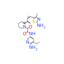 C=C(/C=C\c1sc(N)nc1C)[C@@H]1CCCCN1C(=O)C(=O)Nc1cnc(N)c(CC)c1